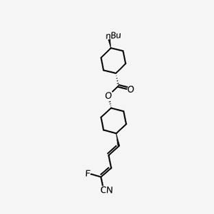 CCCC[C@H]1CC[C@H](C(=O)O[C@H]2CC[C@H](C=CC=C(F)C#N)CC2)CC1